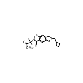 COC(=O)C(C)(C)NC(=O)c1cc2c(cc1F)CN(CC1CCC1)C2